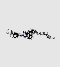 CC(C)(C)OC(=O)COCCOCCOc1ccc(CN2C(=O)/C(=C\C=C\c3ccc([N+](=O)[O-])cc3)c3ccccc32)cc1